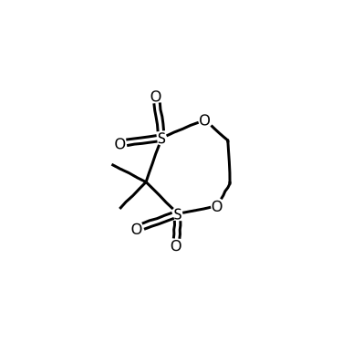 CC1(C)S(=O)(=O)OCCOS1(=O)=O